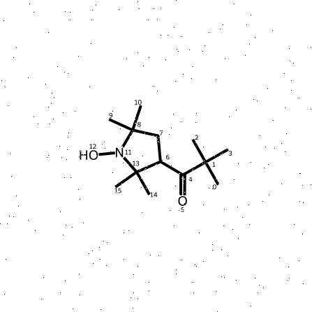 CC(C)(C)C(=O)C1CC(C)(C)N(O)C1(C)C